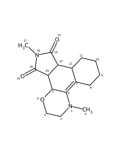 CN1CCOC2C1=C1CCCCC1C1C(=O)N(C)C(=O)C21